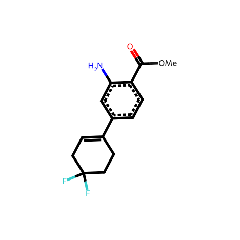 COC(=O)c1ccc(C2=CCC(F)(F)CC2)cc1N